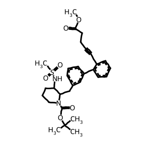 COC(=O)CCC#Cc1ccccc1-c1cccc(CC2C(NS(C)(=O)=O)CCCN2C(=O)OC(C)(C)C)c1